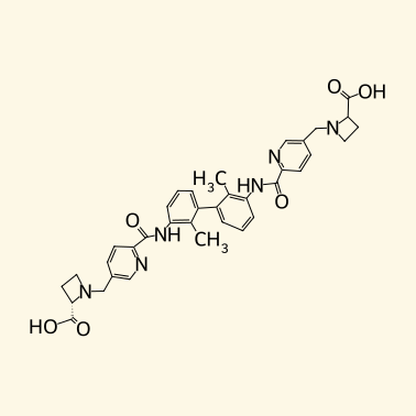 Cc1c(NC(=O)c2ccc(CN3CCC3C(=O)O)cn2)cccc1-c1cccc(NC(=O)c2ccc(CN3CC[C@H]3C(=O)O)cn2)c1C